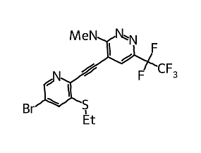 CCSc1cc(Br)cnc1C#Cc1cc(C(F)(F)C(F)(F)F)nnc1NC